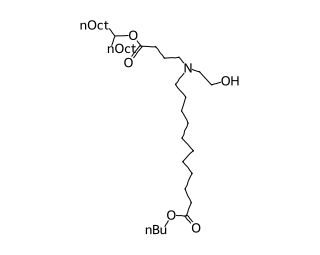 CCCCCCCCC(CCCCCCCC)OC(=O)CCCN(CCO)CCCCCCCCCCC(=O)OCCCC